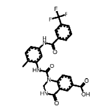 Cc1ccc(NC(=O)c2cccc(C(F)(F)F)c2)cc1NC(=O)N1CNC(=O)c2cc(C(=O)O)ccc21